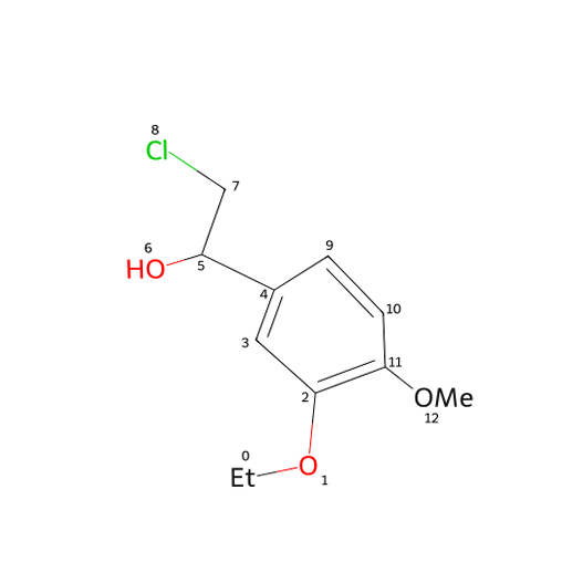 CCOc1cc(C(O)CCl)ccc1OC